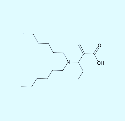 C=C(C(=O)O)C(CC)N(CCCCCC)CCCCCC